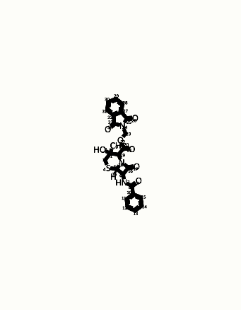 CC1(O)CS[C@H]2C(NC(=O)c3ccccc3)C(=O)N2C1C(=O)OCN1C(=O)c2ccccc2C1=O